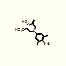 C=C(CN(CCC(=O)O)c1cc(C)c(N)c(C)c1)OO